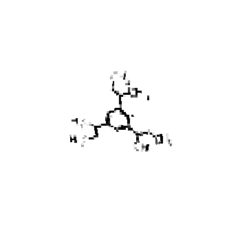 CCC(C)c1[c]c(C(C)CC)cc(C(C)CC)c1